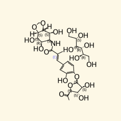 CC(=O)[C@H]1O[C@@H](Oc2ccc(/C=C(\C)C(=O)N[C@H]3[C@@H](O)[C@H](O)[C@@H]4OCO[C@@H]4[C@H]3O)cc2O)[C@@H](O)[C@@H]1O.OC[C@@H](O)[C@@H](O)[C@H](O)[C@@H](O)CO